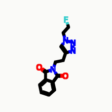 O=C1c2ccccc2C(=O)N1CCc1cn(CCF)nn1